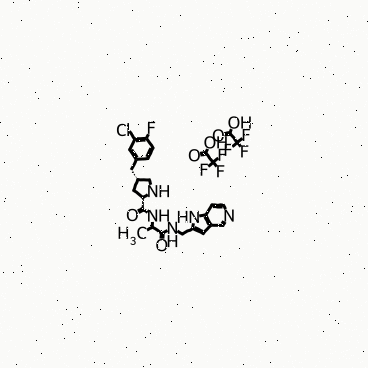 CC(NC(=O)[C@H]1C[C@H](Cc2ccc(F)c(Cl)c2)CN1)C(=O)NCc1cc2cnccc2[nH]1.O=C(O)C(F)(F)F.O=C(O)C(F)(F)F